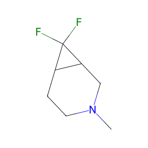 CN1CCC2C(C1)C2(F)F